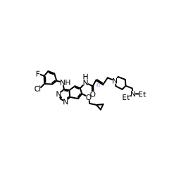 CCN(CC)CC1CCN(C/C=C/C(=O)Nc2cc3c(Nc4ccc(F)c(Cl)c4)ncnc3cc2OCC2CC2)CC1